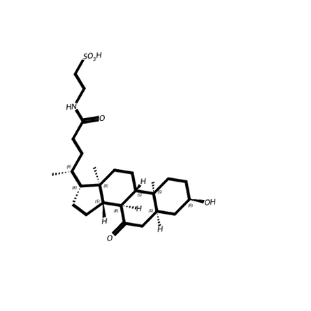 C[C@H](CCC(=O)NCCS(=O)(=O)O)[C@H]1CC[C@H]2[C@@H]3C(=O)C[C@@H]4C[C@H](O)CC[C@]4(C)[C@H]3CC[C@]12C